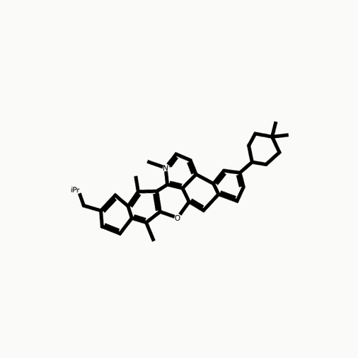 Cc1c2c(c(C)c3cc(CC(C)C)ccc13)-c1c3c(cc4ccc(C5CCC(C)(C)CC5)cc4c3cc[n+]1C)O2